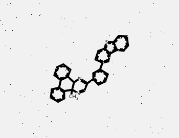 CC12N=CC(c3cccc(-c4ccc5sc6ccccc6c5c4)c3)=NC1c1ccccc1-c1ccccc12